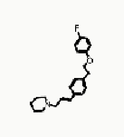 Fc1ccc(OCCc2ccc(C=CCN3CCCCC3)cc2)cc1